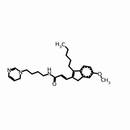 CCCCCC1=C(/C=C/C(=O)NCCCCN2C=NC=CC2)Cc2cc(OC)ccc21